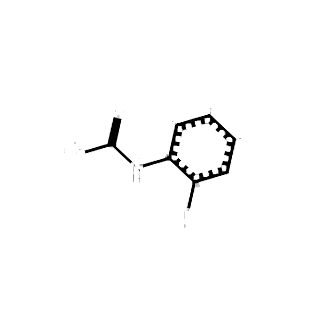 O=C(Nc1c[c]ccc1F)C(F)(F)F